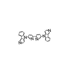 c1ccc2c(c1)c1cnccc1n2-c1ccc(-c2ccc(-n3c4ccccc4c4cnccc43)cn2)nc1